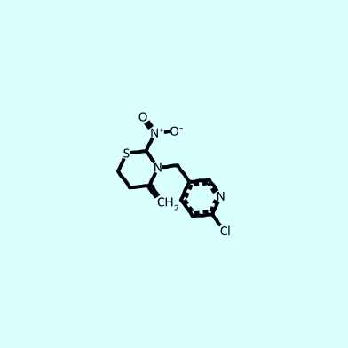 C=C1CCSC([N+](=O)[O-])N1Cc1ccc(Cl)nc1